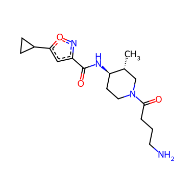 C[C@@H]1CN(C(=O)CCCN)CC[C@H]1NC(=O)c1cc(C2CC2)on1